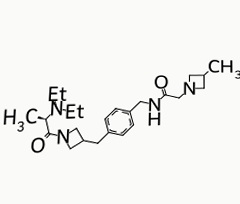 CCN(CC)[C@H](C)C(=O)N1CC(Cc2ccc(CNC(=O)CN3CC(C)C3)cc2)C1